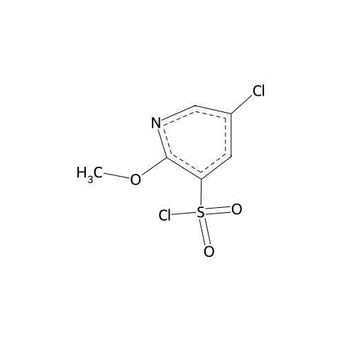 COc1ncc(Cl)cc1S(=O)(=O)Cl